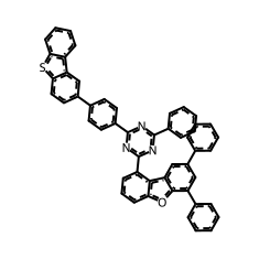 c1ccc(-c2cc(-c3ccccc3)c3oc4cccc(-c5nc(-c6ccccc6)nc(-c6ccc(-c7ccc8sc9ccccc9c8c7)cc6)n5)c4c3c2)cc1